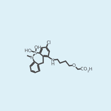 CN1c2ccccc2Cc2c(NCCCCOCC(=O)O)cc(Cl)cc2S1(O)O